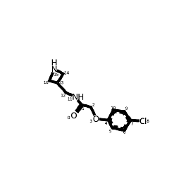 O=C(COc1ccc(Cl)cc1)NCC1CNC1